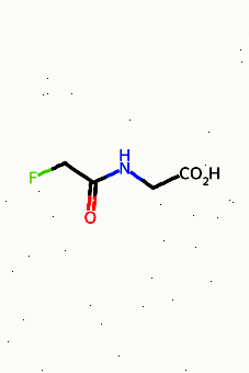 O=C(O)CNC(=O)CF